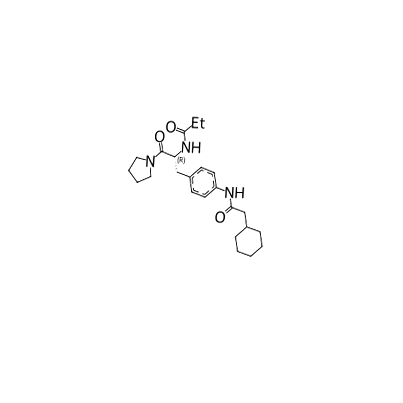 CCC(=O)N[C@H](Cc1ccc(NC(=O)CC2CCCCC2)cc1)C(=O)N1CCCC1